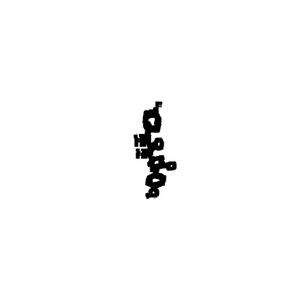 COc1ccc(N2CC(NC(=O)Nc3ccc(F)cc3)CC2=O)cc1